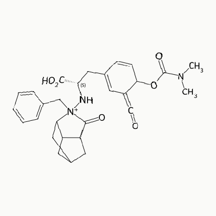 CN(C)C(=O)OC1C=CC(C[C@H](N[N+]2(Cc3ccccc3)C(=O)C3CC4CC3C2C4)C(=O)O)=CC1=C=O